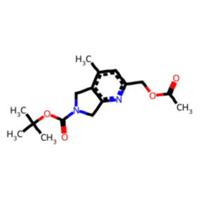 CC(=O)OCc1cc(C)c2c(n1)CN(C(=O)OC(C)(C)C)C2